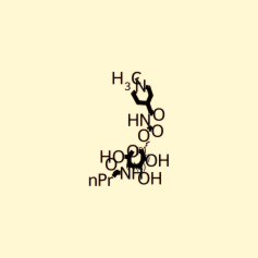 CCCC(=O)N[C@H]1C(O)O[C@H](COC(=O)NC(=O)C2CCN(C)CC2)[C@@H](O)[C@@H]1O